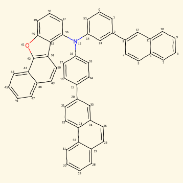 c1cc(-c2ccc3ccccc3c2)cc(N(c2ccc(-c3ccc4c(ccc5ccccc54)c3)cc2)c2cccc3oc4c5ccccc5ccc4c23)c1